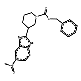 O=C(OCc1ccccc1)N1CCCC(c2nc3cc([N+](=O)[O-])cnc3[nH]2)C1